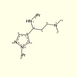 CC(C)NC(CCN(C)C)c1cnn(C(C)C)c1